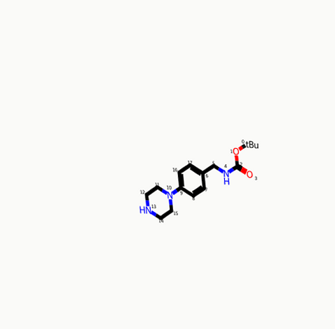 CC(C)(C)OC(=O)NCc1ccc(N2CCNCC2)cc1